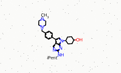 CCC[C@H](C)Nc1ncc2c(-c3ccc(CN4CCN(C)CC4)cc3)cn(C3CCC(O)CC3)c2n1